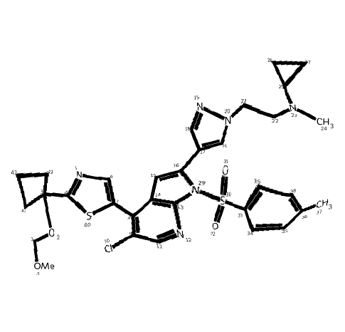 COCOC1(c2ncc(-c3c(Cl)cnc4c3cc(-c3cnn(CCN(C)C5CC5)c3)n4S(=O)(=O)c3ccc(C)cc3)s2)CCC1